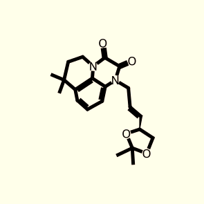 CC1(C)OC[C@H](/C=C/Cn2c(=O)c(=O)n3c4c(cccc42)C(C)(C)CC3)O1